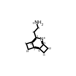 NCCc1nc2c(c3c1CC3)CC2